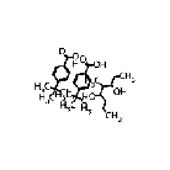 CC(C)(C)c1ccc(C(=O)O)cc1.CC(C)(C)c1ccc(C(=O)O)cc1.CCCC(O)C(C)C(O)CC